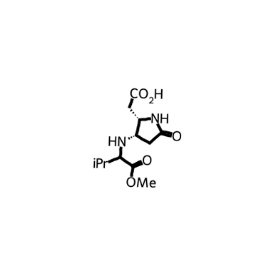 COC(=O)C(N[C@H]1CC(=O)N[C@H]1CC(=O)O)C(C)C